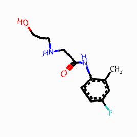 Cc1cc(F)ccc1NC(=O)CNCCO